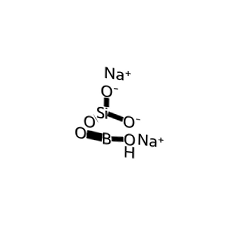 O=BO.O=[Si]([O-])[O-].[Na+].[Na+]